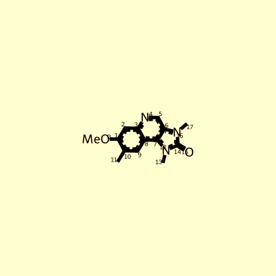 COc1cc2ncc3c(c2cc1C)n(C)c(=O)n3C